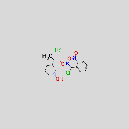 CC(CO/N=C(\Cl)c1ccccc1[N+](=O)[O-])C1CCCN(O)C1.Cl